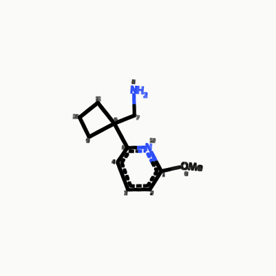 COc1cccc(C2(CN)CCC2)n1